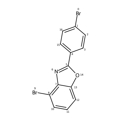 Brc1ccc(-c2nc3c(Br)cccc3o2)cc1